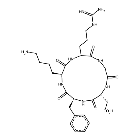 N=C(N)NCCCC1NC(=O)[C@H](CCCCN)NC(=O)[C@H](Cc2ccccc2)NC(=O)[C@@H](CC(=O)O)NC(=O)CNC1=O